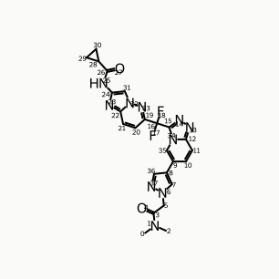 CN(C)C(=O)Cn1cc(-c2ccc3nnc(C(F)(F)c4ccc5nc(NC(=O)C6CC6)cn5n4)n3c2)cn1